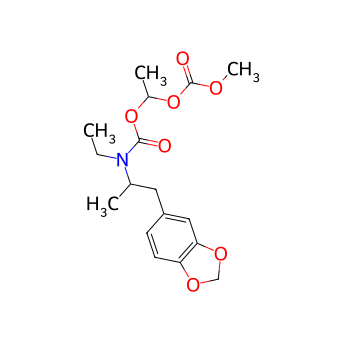 CCN(C(=O)OC(C)OC(=O)OC)C(C)Cc1ccc2c(c1)OCO2